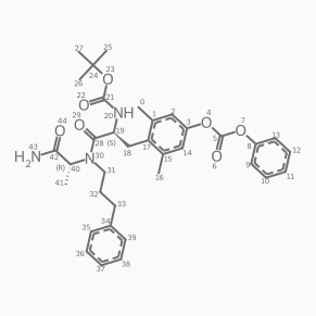 Cc1cc(OC(=O)Oc2ccccc2)cc(C)c1C[C@H](NC(=O)OC(C)(C)C)C(=O)N(CCCc1ccccc1)[C@H](C)C(N)=O